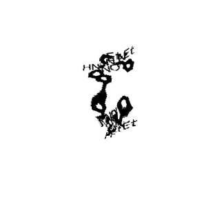 CCN(CC)[C@@H](C(=O)N1CC(F)(F)C[C@H]1c1ncc(-c2ccc(-c3ccc4c(c3)CCc3[nH]c([C@@H]5CCCN5C(=O)[C@@H](c5ccccc5)N(CC)CC)nc3-4)cc2)[nH]1)c1ccccc1